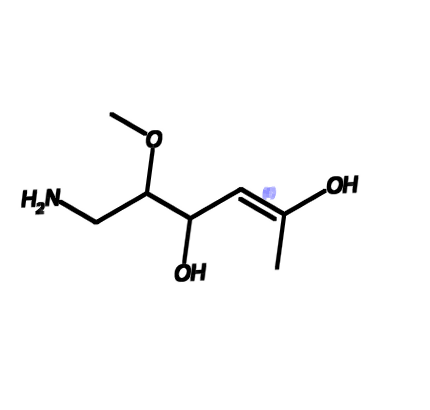 COC(CN)C(O)/C=C(\C)O